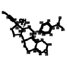 [CH2]C#C[C@]1(O)CCC2C3CCC4=COCCC4=C3[C@@H](c3ccc(N(C)C)cc3)C[C@@]21C